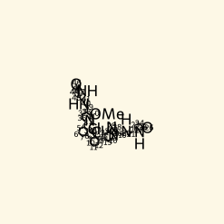 COc1nc(-c2cccc(-c3cccc(-c4ccn5c(CNC[C@H]6CCC(=O)N6)cnc5c4)c3Cl)c2Cl)ccc1CNC[C@@H]1CCC(=O)N1